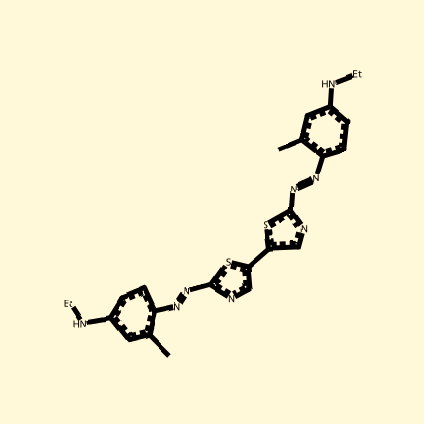 CCNc1ccc(/N=N/c2ncc(-c3cnc(/N=N/c4ccc(NCC)cc4C)s3)s2)c(C)c1